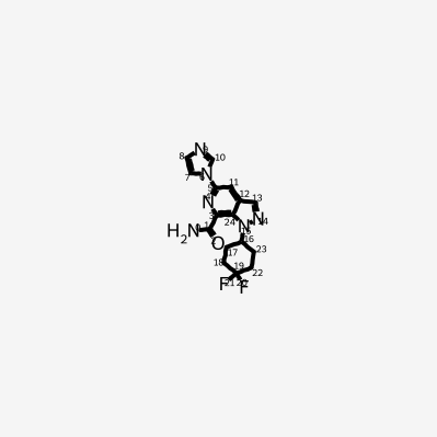 NC(=O)c1nc(-n2ccnc2)cc2cnn(C3CCC(F)(F)CC3)c12